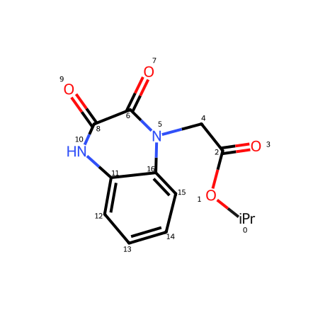 CC(C)OC(=O)Cn1c(=O)c(=O)[nH]c2ccccc21